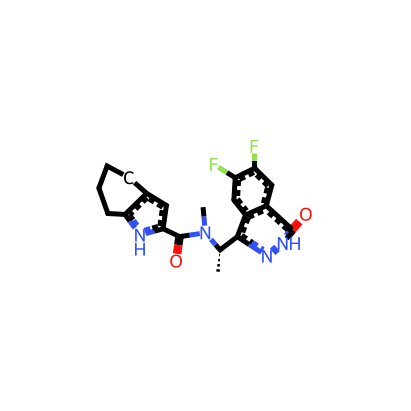 C[C@@H](c1n[nH]c(=O)c2cc(F)c(F)cc12)N(C)C(=O)c1cc2c([nH]1)CCCC2